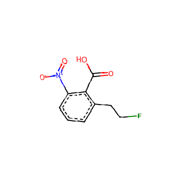 O=C(O)c1c(CCF)cccc1[N+](=O)[O-]